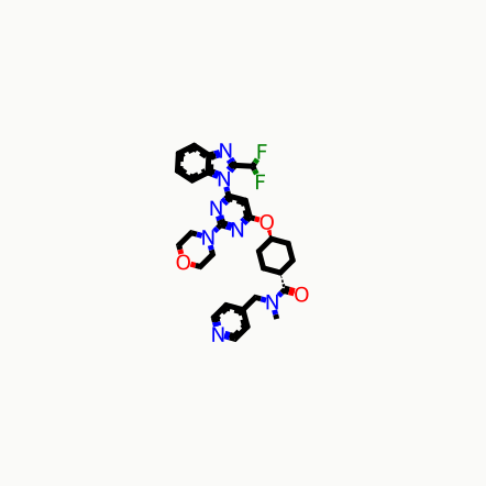 CN(Cc1ccncc1)C(=O)[C@H]1CC[C@H](Oc2cc(-n3c(C(F)F)nc4ccccc43)nc(N3CCOCC3)n2)CC1